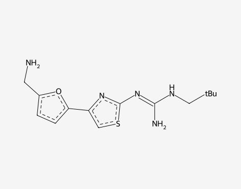 CC(C)(C)CN/C(N)=N/c1nc(-c2ccc(CN)o2)cs1